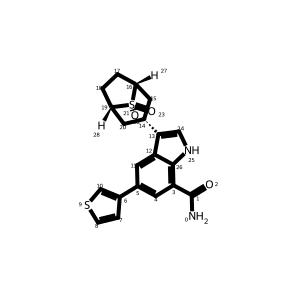 NC(=O)c1cc(-c2ccsc2)cc2c([C@H]3C[C@H]4CC[C@@H](C3)S4(=O)=O)c[nH]c12